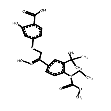 CCN(C(=O)OC)c1ccc(C(COc2ccc(C(=O)O)c(O)c2)=NO)cc1C(C)(C)C